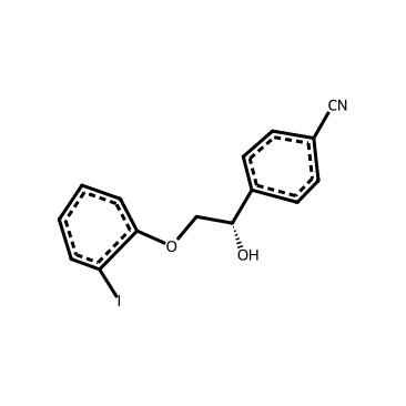 N#Cc1ccc([C@H](O)COc2ccccc2I)cc1